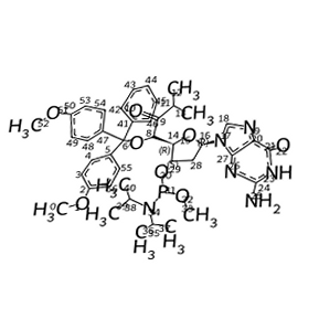 COc1ccc(C(OC(C(=O)C(C)C)[C@H]2O[C@@H](n3cnc4c(=O)[nH]c(N)nc43)C[C@@H]2OP(OC)N(C(C)C)C(C)C)(c2ccccc2)c2ccc(OC)cc2)cc1